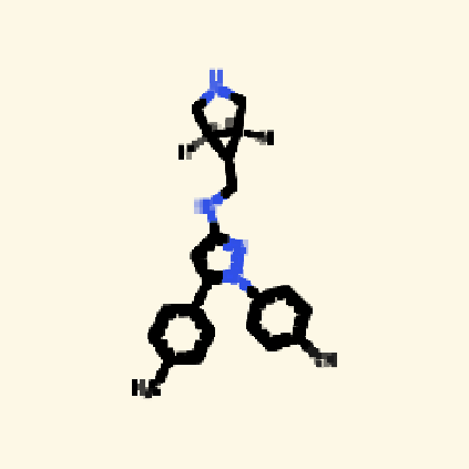 Cc1ccc(-c2cc(NCC3[C@H]4CNC[C@@H]34)nn2-c2ccc(C#N)cc2)cc1